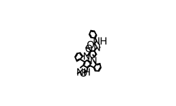 CNCc1c(C=O)c2c3ccccc3n3c2c2c1c1ccccc1n2C1OC3CC(N(C)C(=O)Nc2ccccc2)C1OC